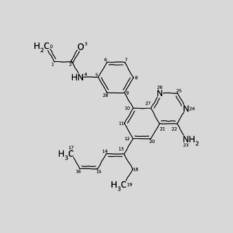 C=CC(=O)Nc1cccc(-c2cc(/C(=C/C=C\C)CC)cc3c(N)ncnc23)c1